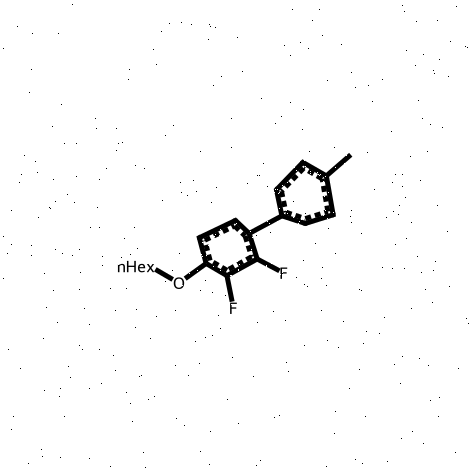 CCCCCCOc1ccc(-c2ccc(C)cc2)c(F)c1F